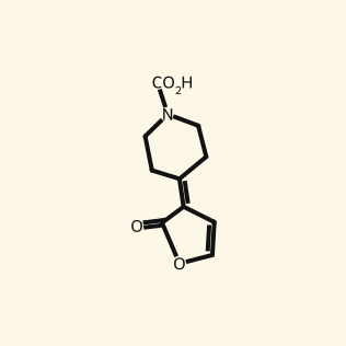 O=C1OC=CC1=C1CCN(C(=O)O)CC1